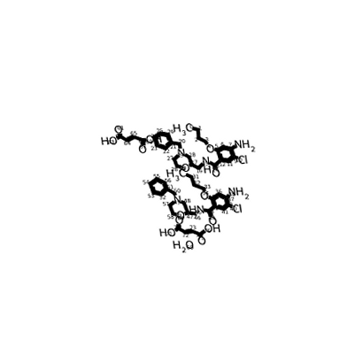 CCCCOc1cc(N)c(Cl)cc1C(=O)NCC1CN(Cc2ccccc2)CCO1.CCCCOc1cc(N)c(Cl)cc1C(=O)NCC1CN(Cc2ccccc2)CCO1.O.O=C(O)C=CC(=O)O.O=C(O)C=CC(=O)O